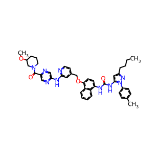 CCCCc1cc(NC(=O)Nc2ccc(OCc3ccnc(Nc4cnc(C(=O)N5CCCC(OC)C5)cn4)c3)c3ccccc23)n(-c2ccc(C)cc2)n1